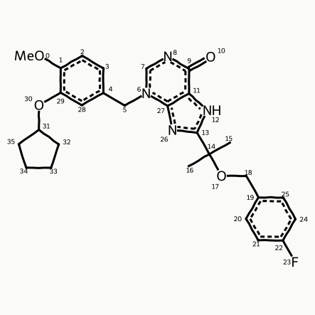 COc1ccc(Cn2cnc(=O)c3[nH]c(C(C)(C)OCc4ccc(F)cc4)nc32)cc1OC1CCCC1